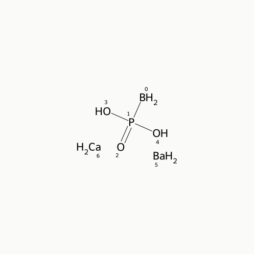 BP(=O)(O)O.[BaH2].[CaH2]